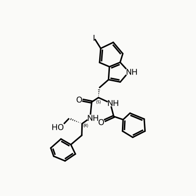 O=C(N[C@@H](Cc1c[nH]c2ccc(I)cc12)C(=O)N[C@@H](CO)Cc1ccccc1)c1ccccc1